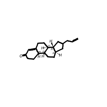 C=CCC1C[C@H]2CC[C@H]3[C@@H](CCC4=CC(=O)CC[C@@H]43)[C@@H]2C1